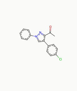 CC(=O)c1nn(-c2ccccc2)cc1-c1ccc(Cl)cc1